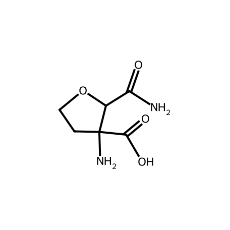 NC(=O)C1OCCC1(N)C(=O)O